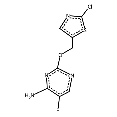 Nc1nc(OCc2cnc(Cl)s2)ncc1F